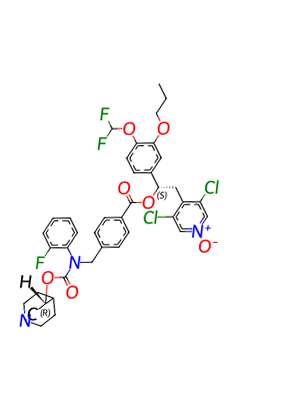 CCCOc1cc([C@H](Cc2c(Cl)c[n+]([O-])cc2Cl)OC(=O)c2ccc(CN(C(=O)O[C@H]3CN4CCC3CC4)c3ccccc3F)cc2)ccc1OC(F)F